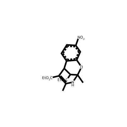 CCOC(=O)C1=C(C)NC2(C)Oc3cc([N+](=O)[O-])ccc3C1C2C(=O)OCC